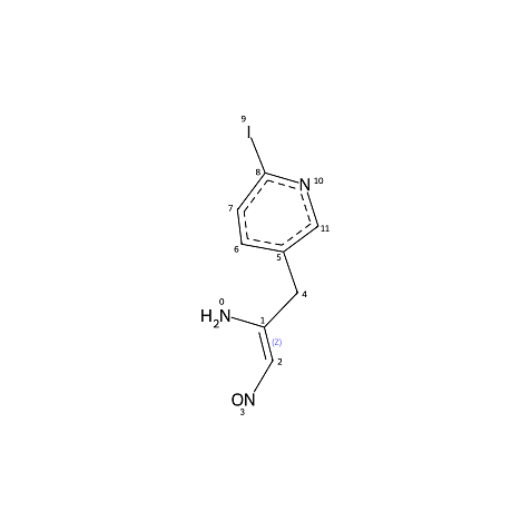 N/C(=C\N=O)Cc1ccc(I)nc1